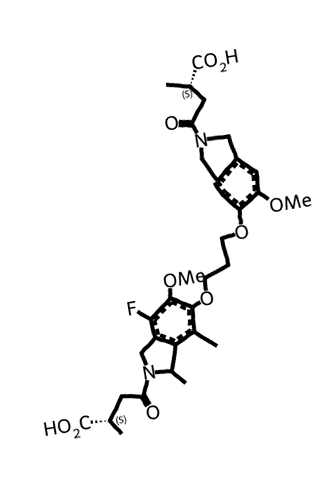 COc1cc2c(cc1OCCCOc1c(C)c3c(c(F)c1OC)CN(C(=O)C[C@H](C)C(=O)O)C3C)CN(C(=O)C[C@H](C)C(=O)O)C2